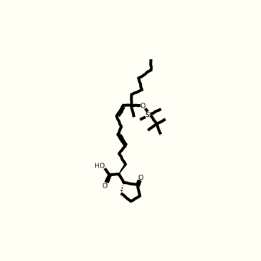 CCCCCC(C)(/C=C\C/C=C/CC[C@H](C(=O)O)[C@H]1CCCC1=O)O[Si](C)(C)C(C)(C)C